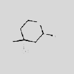 CCC[C@H]1C[C@](C)(OC(C)=O)CCO1